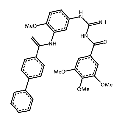 C=C(Nc1cc(NC(=N)NC(=O)c2cc(OC)c(OC)c(OC)c2)ccc1OC)c1ccc(-c2ccccc2)cc1